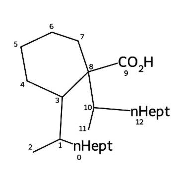 CCCCCCCC(C)C1CCCCC1(C(=O)O)C(C)CCCCCCC